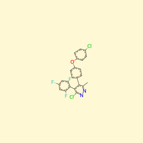 Cc1nnc(Cl)c(-c2c(F)cc(F)cc2F)c1-c1ccc(Oc2ccc(Cl)cc2)cc1